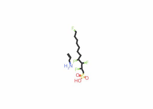 C=CCN.O=S(=O)(O)CC(F)C(F)C(F)CCCCCCCF